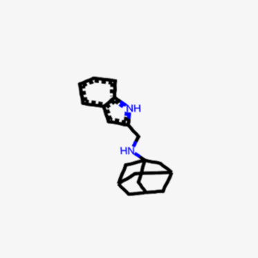 c1ccc2[nH]c(CNC34CC5CC(CC(C5)C3)C4)cc2c1